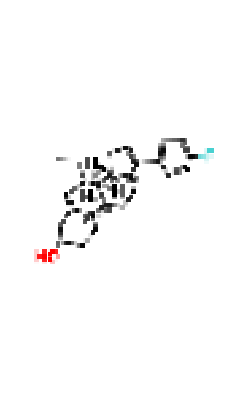 CCC1C=C2CC(O)CC[C@]2(C)[C@@H]2CC[C@]3(C)C(c4ccc(F)cc4)=CC[C@H]3[C@H]12